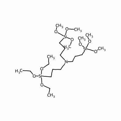 CCO[Si](CCCN(CCC[Si](OC)(OC)OC)CCC[Si](OC)(OC)OC)(OCC)OCC